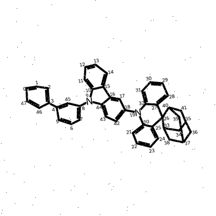 c1ccc(-c2cccc(-n3c4ccccc4c4cc(N5c6ccccc6C6(c7ccccc75)C5CC7CC(C5)CC6C7)ccc43)c2)cc1